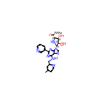 CNC(=O)[C@H]1N[C@@H](n2cnc3c(NCc4cc(C)ccn4)nc(-c4cccnc4)nc32)[C@H](O)[C@@H]1O